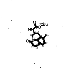 CC(C)(C)OC(=O)NC1Cc2c(F)ccc3ccc(=O)n(c23)C1